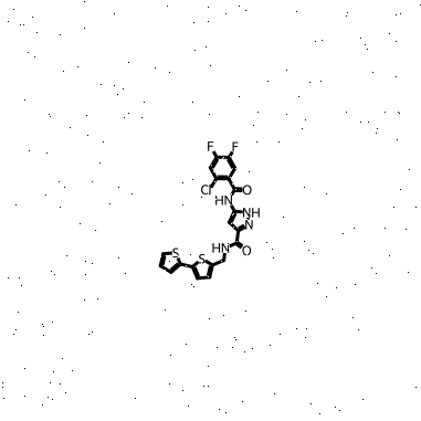 O=C(NCc1ccc(-c2cccs2)s1)c1cc(NC(=O)c2cc(F)c(F)cc2Cl)[nH]n1